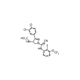 N#C/N=C(/Nc1cccc(OC(F)(F)F)c1F)N1CC(NC(=O)O)C(c2ccc(Cl)c(Cl)c2)=N1